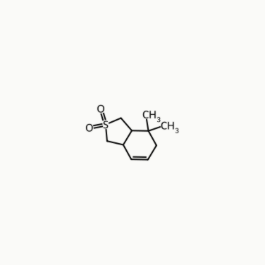 CC1(C)CC=CC2CS(=O)(=O)CC21